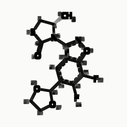 C[C@H]1CSC(=O)N1c1noc2c(F)c(F)c(C3OCCO3)cc12